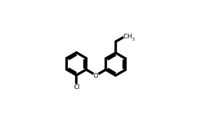 CCc1cccc(Oc2ccccc2Cl)c1